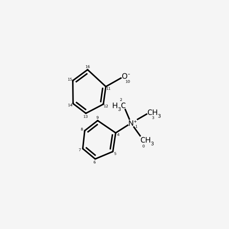 C[N+](C)(C)c1ccccc1.[O-]c1ccccc1